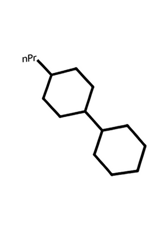 CCCC1CC[C](C2CCCCC2)CC1